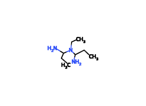 CCC(N)N(CC)C(N)CC